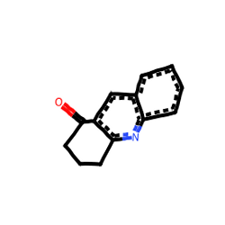 O=C1CCCc2nc3ccccc3[c]c21